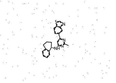 Cc1nc(N[C@@H]2CCCc3ccccc32)cc(-c2ccc3scnc3c2)n1